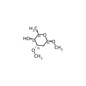 CO[C@H]1C[C@H](OC)[C@@H](O)[C@@H](C)O1